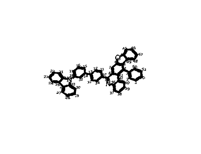 c1ccc(-c2c3c(cc4c(-c5ccc(-c6cccc(-n7c8ccccc8c8ccccc87)c6)cc5)nc5ccccc5c24)oc2ccccc23)cc1